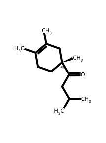 CC1=C(C)C[C@](C)(C(=O)CC(C)C)CC1